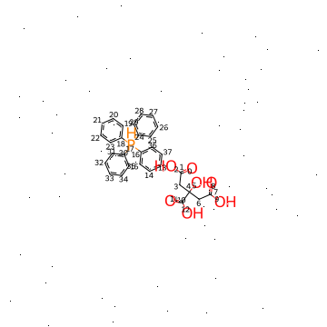 O=C(O)CC(O)(CC(=O)O)C(=O)O.c1ccc([PH](c2ccccc2)(c2ccccc2)c2ccccc2)cc1